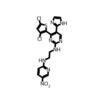 O=[N+]([O-])c1ccc(NCCNc2ncc(-c3ncc[nH]3)c(-c3sc(Cl)cc3Cl)n2)nc1